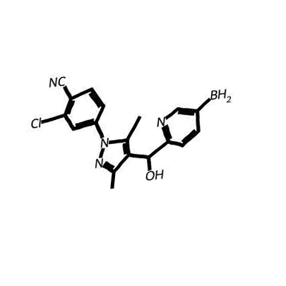 Bc1ccc(C(O)c2c(C)nn(-c3ccc(C#N)c(Cl)c3)c2C)nc1